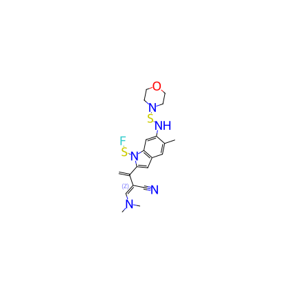 C=C(/C(C#N)=C/N(C)C)c1cc2cc(C)c(NSN3CCOCC3)cc2n1SF